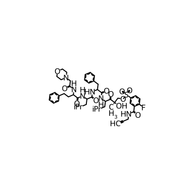 C#CCNC(=O)c1cc(S(=O)(=O)OCC(C)(O)C(=O)C(CC(C)C)NC(=O)C(Cc2ccccc2)NC(=O)C(CC(C)C)NC(=O)C(CCc2ccccc2)NC(=O)CN2CCOCC2)ccc1F